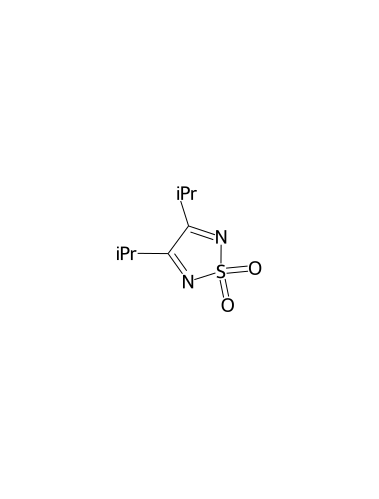 CC(C)C1=NS(=O)(=O)N=C1C(C)C